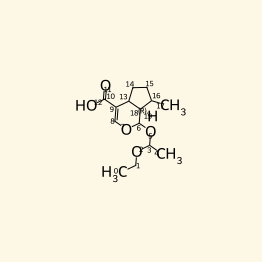 CCOC(C)OC1OC=C(C(=O)O)C2CCC(C)[C@@H]12